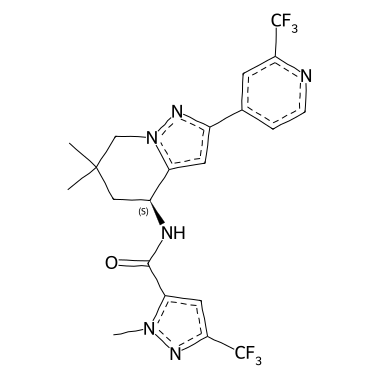 Cn1nc(C(F)(F)F)cc1C(=O)N[C@H]1CC(C)(C)Cn2nc(-c3ccnc(C(F)(F)F)c3)cc21